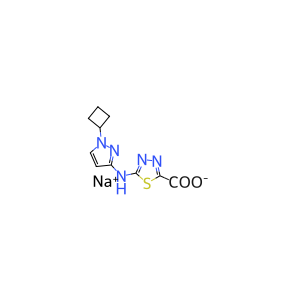 O=C([O-])c1nnc(Nc2ccn(C3CCC3)n2)s1.[Na+]